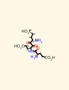 N[C@@H](CCC(=O)O)C(=O)N[C@@H](CCC(=O)O)C(=O)C(=O)[C@@H](N)CCC(=O)O